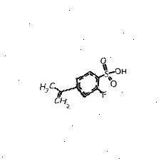 C=C(C)c1ccc(S(=O)(=O)O)c(F)c1